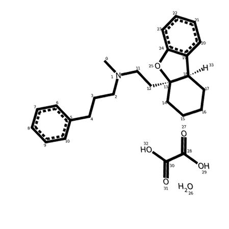 CN(CCCc1ccccc1)CC[C@@]12CCCC[C@@H]1c1ccccc1O2.O.O=C(O)C(=O)O